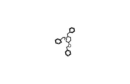 c1ccc(COC2CCC(Cc3ccccc3)N(Cc3ccccc3)C2)cc1